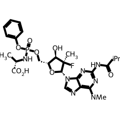 CNc1nc(NC(=O)C(C)C)nc2c1ncn2[C@@H]1O[C@H](COP(=O)(N[C@@H](C)C(=O)O)Oc2ccccc2)[C@@H](O)[C@@]1(C)F